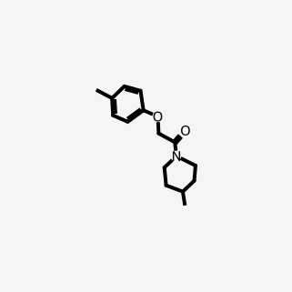 Cc1ccc(OCC(=O)N2CCC(C)CC2)cc1